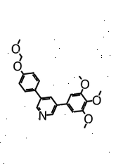 COCOc1ccc(-c2cncc(-c3cc(OC)c(OC)c(OC)c3)c2)cc1